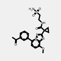 COc1ccc(-c2cccc(C(C)=O)c2)n2nc(C3(C(=O)NCCS(N)(=O)=O)CC3)nc12